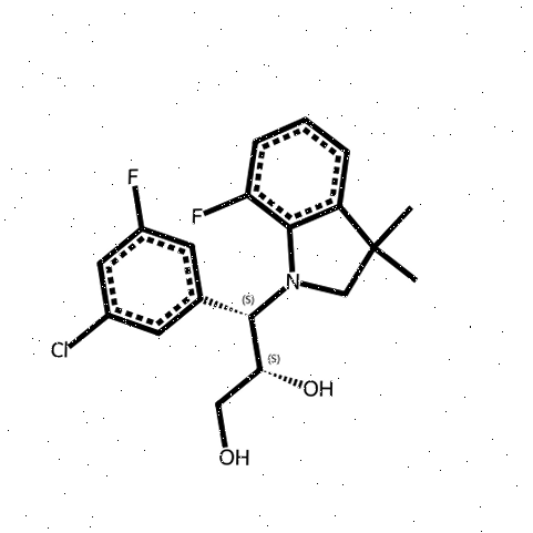 CC1(C)CN([C@@H](c2cc(F)cc(Cl)c2)[C@H](O)CO)c2c(F)cccc21